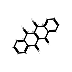 O=c1c2c(=O)c3ccccc3c(=O)c=2c(=O)c2ccccc12